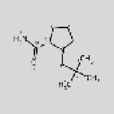 CC(C)(C)CN1CCC[C@H]1C(N)=O